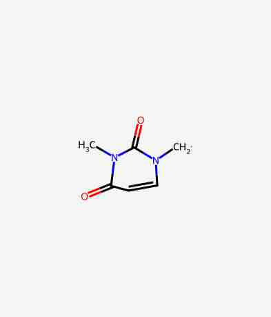 [CH2]n1ccc(=O)n(C)c1=O